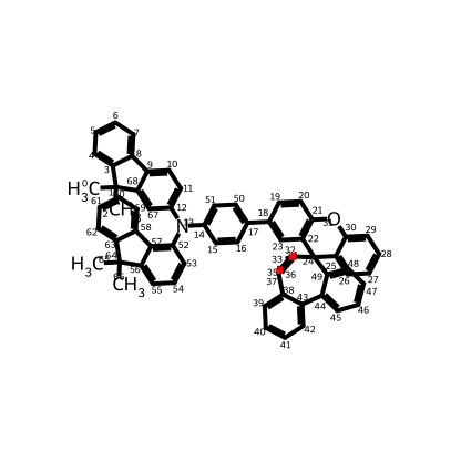 CC1(C)c2ccccc2-c2ccc(N(c3ccc(-c4ccc5c(c4)C4(c6ccccc6O5)c5ccccc5-c5ccccc5-c5ccccc54)cc3)c3cccc4c3-c3ccccc3C4(C)C)cc21